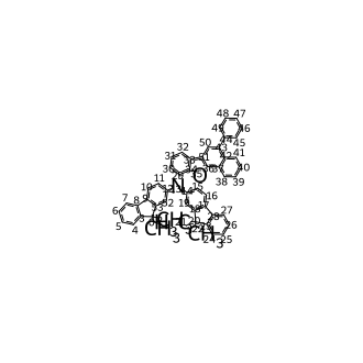 CC1(C)c2ccccc2-c2ccc(N(c3ccc4c(c3)C(C)(C)c3ccccc3-4)c3cccc4c3oc3c5ccccc5c(-c5ccccc5)cc43)cc21